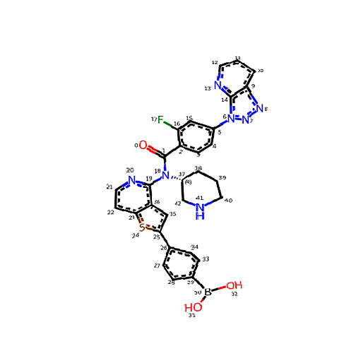 O=C(c1ccc(-n2nnc3cccnc32)cc1F)N(c1nccc2sc(-c3ccc(B(O)O)cc3)cc12)[C@@H]1CCCNC1